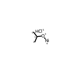 CC(C)[O][Ni].Cl